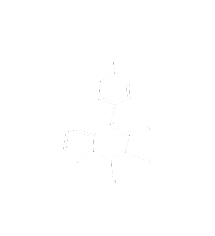 Cc1c(C#N)c(-c2ccc(Cl)cc2)c2ccccc2c1Br